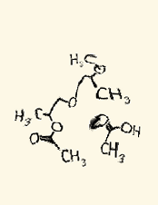 CC(=O)O.COC(C)COCC(C)OC(C)=O